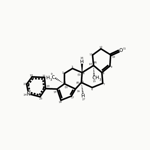 C[C@]12CC[C@H]3[C@@H](CCC4=CC(=O)CC[C@@]43C)C1=CC=C2c1cccnc1